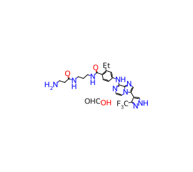 CCc1cc(Nc2nccn3c(-c4c[nH]nc4C(F)(F)F)cnc23)ccc1C(=O)NCCCNC(=O)CCN.O=CO